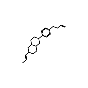 C=CCCc1ccc(C2CCC3CC(/C=C/C)CCC3C2)cc1